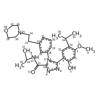 COc1cc(O)c(-c2nnc(C(=O)NC(C)C)n2-c2cccc(CCN3CCOCC3)c2)cc1C(C)C